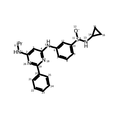 CC(C)Nc1cc(Nc2cccc([S+]([O-])NC3CC3)c2)nc(-c2ccccc2)n1